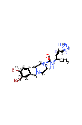 C=C(/C=C\C=N/N)NC(=O)N1CCN(Cc2ccc(Br)c(Br)c2)CC1